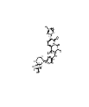 Cc1cn(-c2ccc3n(c2=O)CC(C)N(Cc2csc(N4CCCC(I)(C(F)(F)F)C4)n2)C3=O)cn1